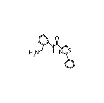 NCc1ccccc1NC(=O)c1csc(-c2ccccc2)n1